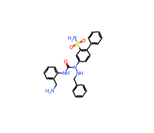 NCc1ccccc1NC(=O)N(NCc1ccccc1)c1ccc(-c2ccccc2)c(S(N)(=O)=O)c1